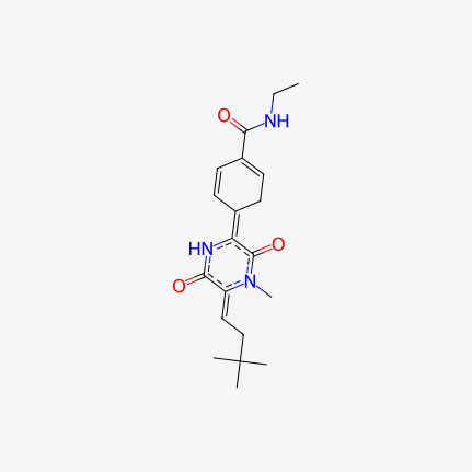 CCNC(=O)C1=CC/C(=c2/[nH]c(=O)/c(=C/CC(C)(C)C)n(C)c2=O)C=C1